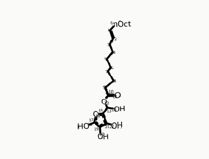 CCCCCCCCC=CCCCCCCCC(=O)OC(O)c1oc(O)c(O)c1O